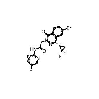 O=C(Cn1nc([C@@H]2C[C@@H]2F)c2cc(Br)ccc2c1=O)Nc1ncc(F)cn1